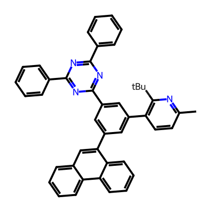 Cc1ccc(-c2cc(-c3nc(-c4ccccc4)nc(-c4ccccc4)n3)cc(-c3cc4ccccc4c4ccccc34)c2)c(C(C)(C)C)n1